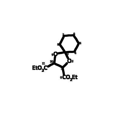 CCOC(=O)C1OC2(CCCCC2)OC1C(=O)OCC